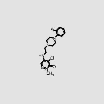 Cn1ncc(NCCN2CCN(c3ccccc3F)CC2)c(Cl)c1=O